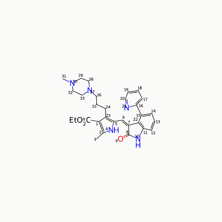 CCOC(=O)c1c(C)[nH]c(C=C2C(=O)Nc3cccc(-c4ccccn4)c32)c1CCCN1CCN(C)CC1